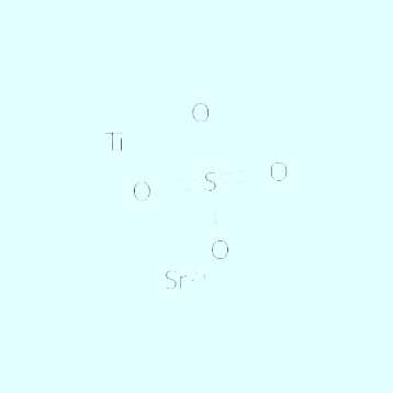 O=S(=O)([O-])[O-].[Sr+2].[Ti]